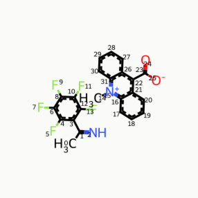 CC(=N)c1c(F)c(F)c(F)c(F)c1F.C[n+]1c2ccccc2c(C(=O)[O-])c2ccccc21